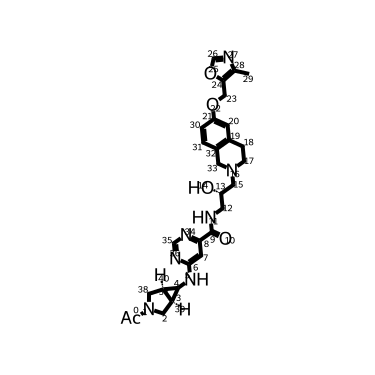 CC(=O)N1C[C@@H]2C(Nc3cc(C(=O)NC[C@H](O)CN4CCc5cc(OCc6ocnc6C)ccc5C4)ncn3)[C@@H]2C1